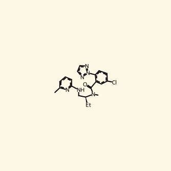 CC[C@@H](CNc1cccc(C)n1)N(C)C(=O)c1cc(Cl)ccc1-n1nccn1